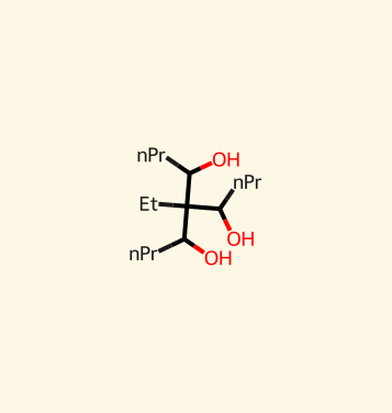 CCCC(O)C(CC)(C(O)CCC)C(O)CCC